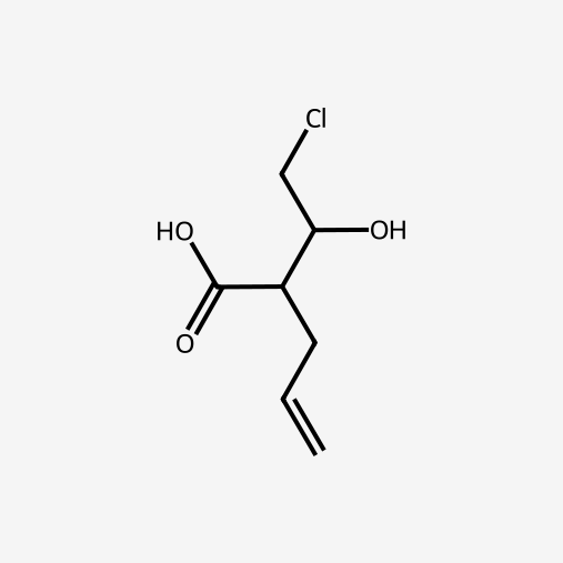 C=CCC(C(=O)O)C(O)CCl